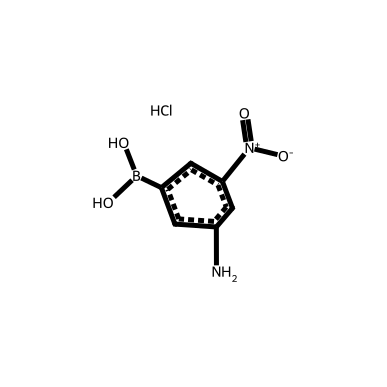 Cl.Nc1cc(B(O)O)cc([N+](=O)[O-])c1